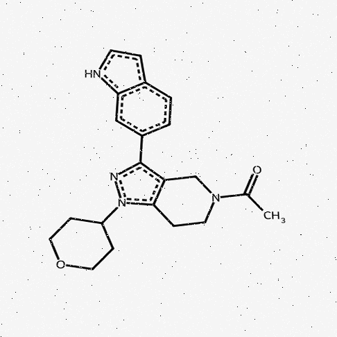 CC(=O)N1CCc2c(c(-c3ccc4cc[nH]c4c3)nn2C2CCOCC2)C1